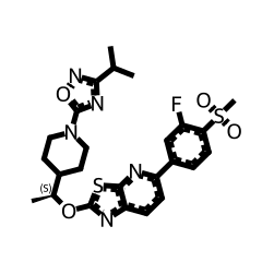 CC(C)c1noc(N2CCC([C@H](C)Oc3nc4ccc(-c5ccc(S(C)(=O)=O)c(F)c5)nc4s3)CC2)n1